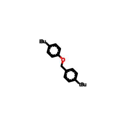 CCC(C)c1ccc(OCc2ccc(C(C)(C)C)cc2)cc1